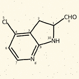 O=CC1Cc2c(Cl)ccnc2N1